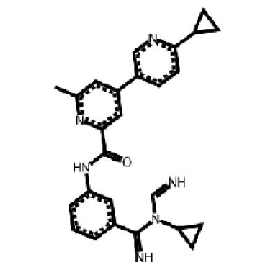 Cc1cc(-c2ccc(C3CC3)nc2)cc(C(=O)Nc2cccc(C(=N)N(C=N)C3CC3)c2)n1